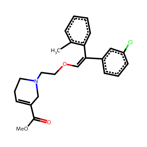 COC(=O)C1=CCCN(CCOC=C(c2cccc(Cl)c2)c2ccccc2C)C1